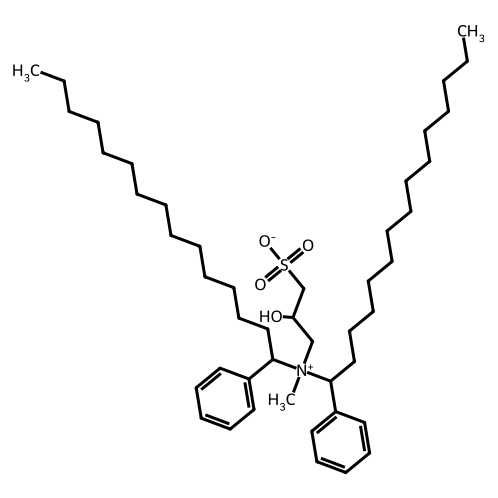 CCCCCCCCCCCCCCC(c1ccccc1)[N+](C)(CC(O)CS(=O)(=O)[O-])C(CCCCCCCCCCCCCC)c1ccccc1